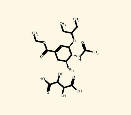 CCOC(=O)C1=C[C@@H](OC(CC)CC)[C@H](NC(C)=O)[C@@H](N)C1.O=C(O)C(O)C(O)C(=O)O